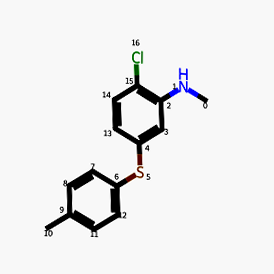 CNc1cc(Sc2ccc(C)cc2)ccc1Cl